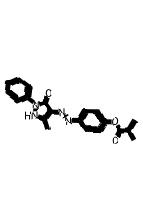 C=C(C)C(=O)Oc1ccc(N=Nc2c(C)[nH]n(-c3ccccc3)c2=O)cc1